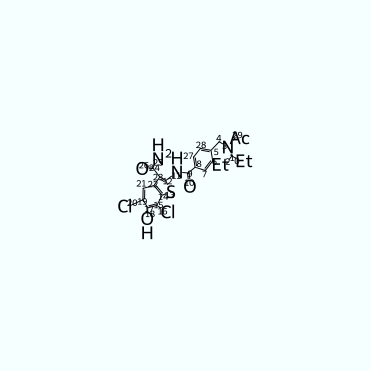 CCC(CC)N(Cc1ccc(C(=O)Nc2sc3c(Cl)c(O)c(Cl)cc3c2C(N)=O)cc1)C(C)=O